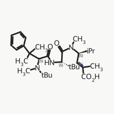 C/C(=C\[C@H](C(C)C)N(C)C(=O)[C@@H](NC(=O)[C@@H](N(C)C(C)(C)C)C(C)(C)c1ccccc1)C(C)(C)C)C(=O)O